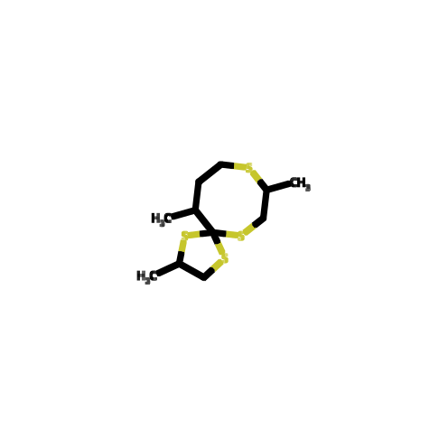 CC1CSC2(SCC(C)S2)C(C)CCS1